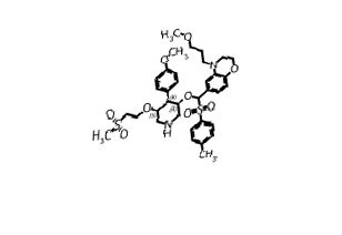 COCCCN1CCOc2ccc(C(O[C@H]3CNC[C@@H](OCCS(C)(=O)=O)[C@H]3c3ccc(OC)cc3)S(=O)(=O)c3ccc(C)cc3)cc21